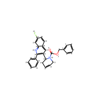 O=C(OCc1ccccc1)N1CC=CCC1c1cc2ccc(F)cc2nc1-c1ccccc1